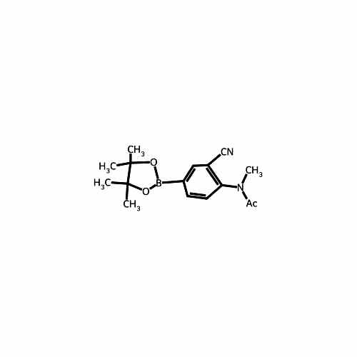 CC(=O)N(C)c1ccc(B2OC(C)(C)C(C)(C)O2)cc1C#N